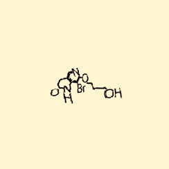 O=C1CCc2cnc(OCCCCO)c(Br)c2N1